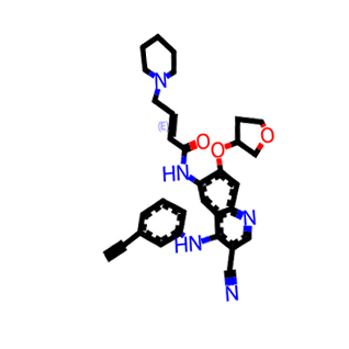 C#Cc1cccc(Nc2c(C#N)cnc3cc(OC4CCOC4)c(NC(=O)/C=C/CN4CCCCC4)cc23)c1